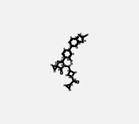 Cc1nc2ccc(-c3ccc(C4=NC5(CC5)C(=O)N4CC4CN(C(=O)C5CC5)C4)c(F)c3)cc2s1